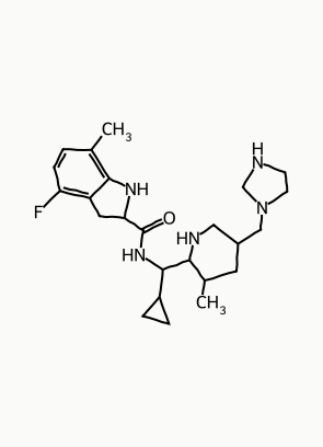 Cc1ccc(F)c2c1NC(C(=O)NC(C1CC1)C1NCC(CN3CCNC3)CC1C)C2